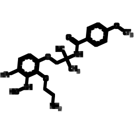 CCCc1ccc(OCC(C)(C#N)NC(=O)c2ccc(OC(F)(F)F)cc2)c(OCCN)c1BO